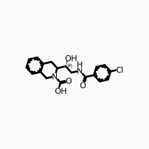 O=C(NC[C@@H](O)C1Cc2ccccc2CN1C(=O)O)c1ccc(Cl)cc1